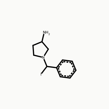 NC1CCN(C(I)c2ccccc2)C1